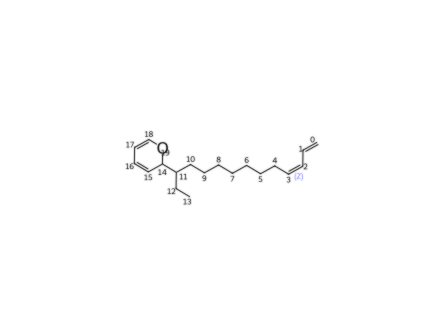 C=C/C=C\CCCCCCCC(CC)C1C=CC=CO1